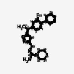 CC(c1ccc(-c2ccccc2)c(F)c1)c1cc(CN=C(N)N2CCSCC2)no1